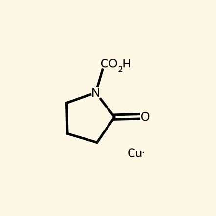 O=C(O)N1CCCC1=O.[Cu]